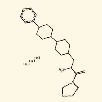 Cl.Cl.Cl.NC(CC1CCC(N2CCN(c3ccccc3)CC2)CC1)C(=O)N1CCSC1